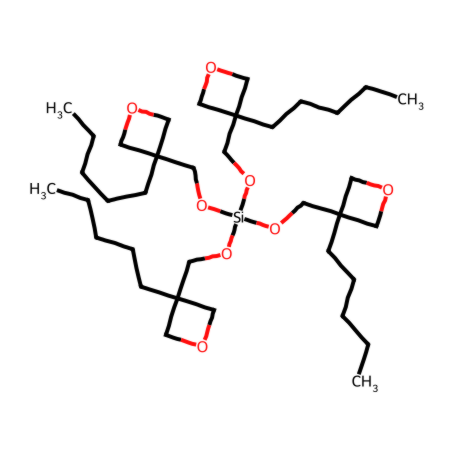 CCCCCC1(CO[Si](OCC2(CCCCC)COC2)(OCC2(CCCCC)COC2)OCC2(CCCCC)COC2)COC1